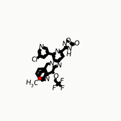 CC1CCC(Cn2c(C(OCC(F)(F)F)c3ccccn3)nc3cc(-c4noc(=O)[nH]4)nc(-c4cncc(Cl)c4)c32)CC1